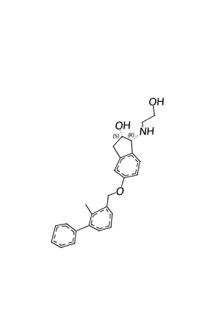 Cc1c(COc2ccc3c(c2)C[C@H](O)[C@@H]3NCCO)cccc1-c1ccccc1